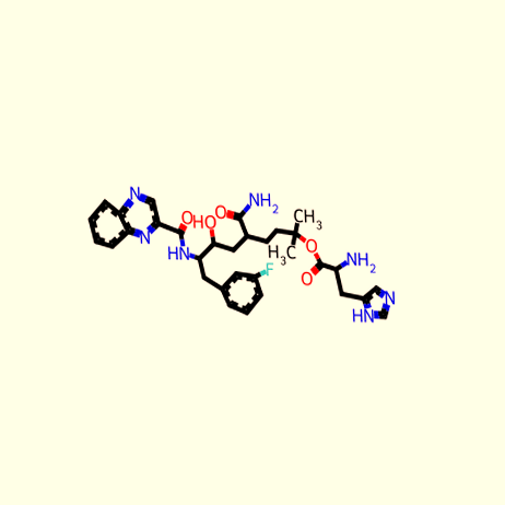 CC(C)(CCC(CC(O)C(Cc1cccc(F)c1)NC(=O)c1cnc2ccccc2n1)C(N)=O)OC(=O)C(N)Cc1cnc[nH]1